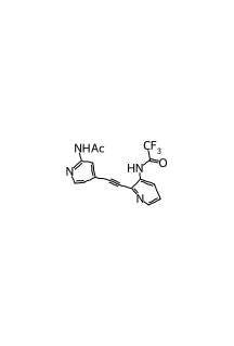 CC(=O)Nc1cc(C#Cc2ncccc2NC(=O)C(F)(F)F)ccn1